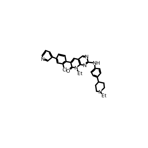 CCN1CCC(c2ccc(Nc3ncc4cc(-c5ccc(-c6cccnc6)cc5Cl)c(=O)n(CC)c4n3)cc2)CC1